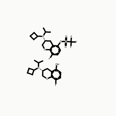 CC(C)N(C1CCC1)[C@H]1COc2c(F)ccc(O)c2C1.CC(C)N(C1CCC1)[C@H]1COc2c(F)ccc(OS(=O)(=O)C(F)(F)F)c2C1